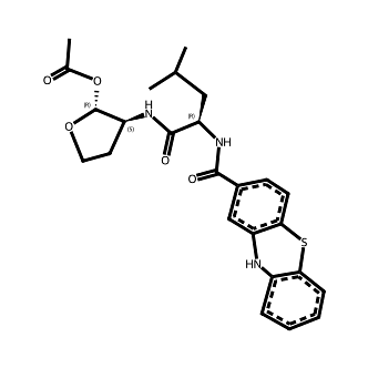 CC(=O)O[C@H]1OCC[C@@H]1NC(=O)[C@@H](CC(C)C)NC(=O)c1ccc2c(c1)Nc1ccccc1S2